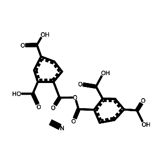 C#N.O=C(O)c1ccc(C(=O)OC(=O)c2ccc(C(=O)O)cc2C(=O)O)c(C(=O)O)c1